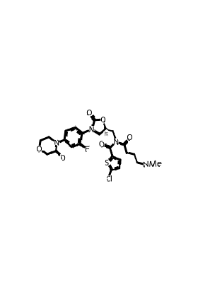 CNCCCC(=O)N(C[C@H]1CN(c2ccc(N3CCOCC3=O)cc2F)C(=O)O1)C(=O)c1ccc(Cl)s1